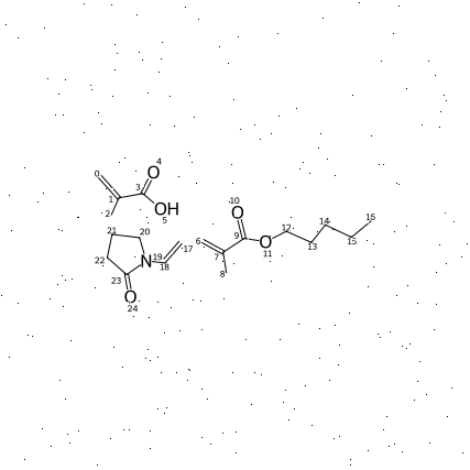 C=C(C)C(=O)O.C=C(C)C(=O)OCCCCC.C=CN1CCCC1=O